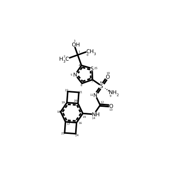 CC(C)(O)c1ncc([S@@](N)(=O)=NC(=O)Nc2c3c(cc4c2CC4)CC3)s1